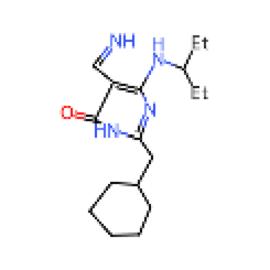 CCC(CC)Nc1nc(CC2CCCCC2)[nH]c(=O)c1C=N